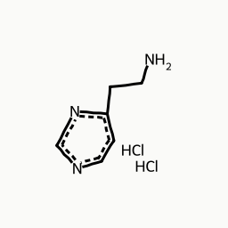 Cl.Cl.NCCc1ccncn1